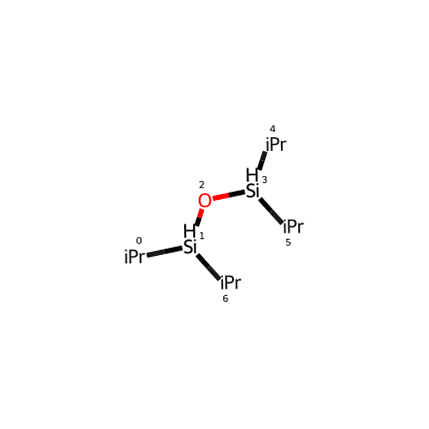 CC(C)[SiH](O[SiH](C(C)C)C(C)C)C(C)C